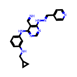 N=Cc1c(N/N=C/c2ccncc2)ncnc1Nc1cccc(NCC2CC2)c1